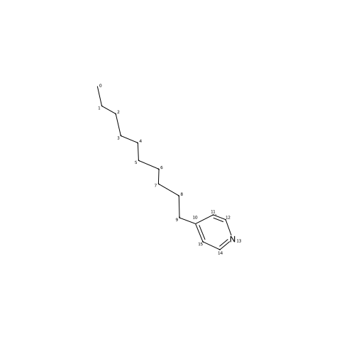 CCCCCCCCCCc1[c]cncc1